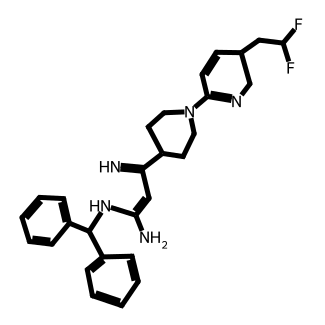 N=C(/C=C(/N)NC(c1ccccc1)c1ccccc1)C1CCN(C2=NCC(CC(F)F)C=C2)CC1